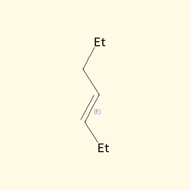 [CH]CC/C=C/C[CH2]